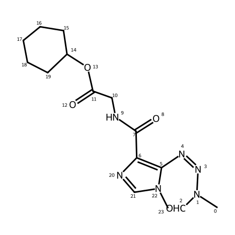 CN(C=O)/N=N\c1c(C(=O)NCC(=O)OC2CCCCC2)ncn1C